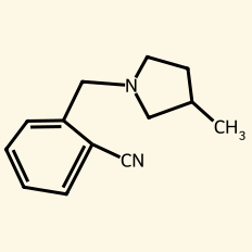 CC1CCN(Cc2ccccc2C#N)C1